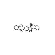 Brc1ccccc1CNc1ccc2c(c1)Oc1ccccc1S2